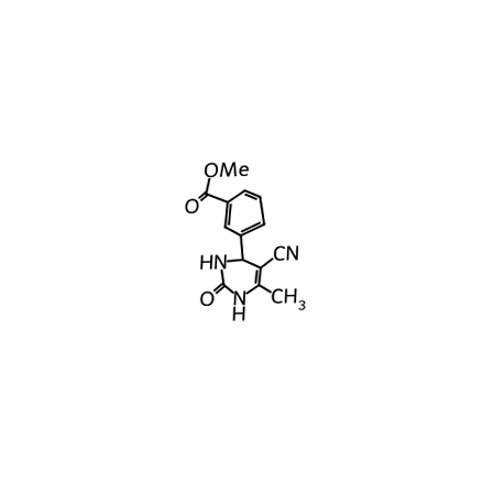 COC(=O)c1cccc(C2NC(=O)NC(C)=C2C#N)c1